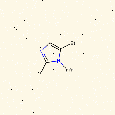 CCCn1c(CC)cnc1C